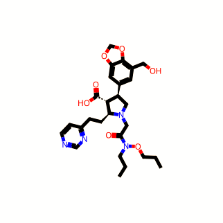 CCCON(CCC)C(=O)CN1C[C@H](c2cc(CO)c3c(c2)OCO3)[C@@H](C(=O)O)[C@@H]1CCc1ccncn1